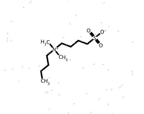 CCCC[N+](C)(C)CCCCS(=O)(=O)[O-]